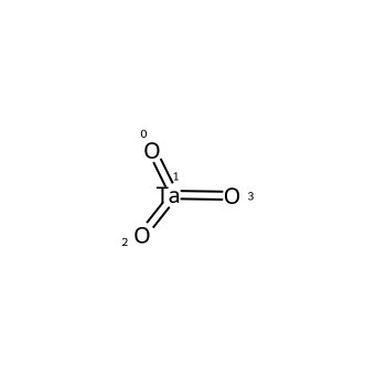 [O]=[Ta](=[O])=[O]